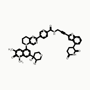 [2H]C1COCCC1([2H])c1cc(N2CCCc3nc(-c4ccc(C(=O)NCC#Cc5cc6c(C7CCC(=O)NC7=O)cccc6o5)nc4)ncc32)c2cc(C)c(=O)n(C)c2c1